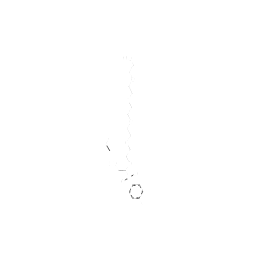 C=CC.Cc1ccc(S(=O)(=O)C(CO)OCCOCCOCCOCCOCCO)cc1